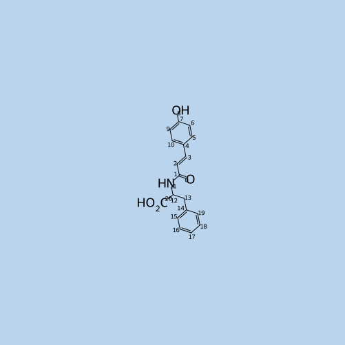 O=C(/C=C/c1ccc(O)cc1)N[C@@H](Cc1ccccc1)C(=O)O